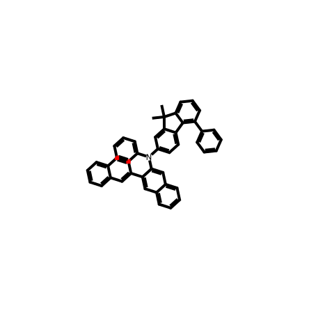 CC1(C)c2cc(N(c3ccccc3)c3cc4ccccc4cc3-c3ccc4ccccc4c3)ccc2-c2c(-c3ccccc3)cccc21